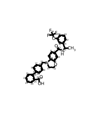 CC(NC(=O)c1ccc2c(c1)OCCN2Cc1ccc(-c2ccccc2C(=O)O)cc1)c1cccc(OC(F)(F)F)c1